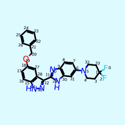 FC1(F)CCN(c2ccc3nc(-c4n[nH]c5ccc(OCc6ccccc6)cc45)[nH]c3c2)CC1